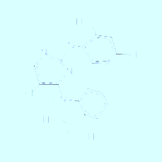 Cc1cc(Cl)ccc1Nc1ncc(Cl)c(Nc2ccccc2P(C)(C)=O)n1